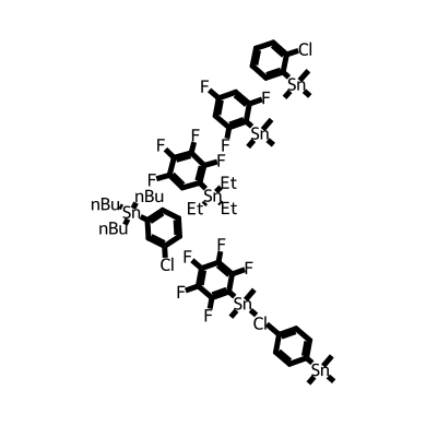 CCC[CH2][Sn]([CH2]CCC)([CH2]CCC)[c]1cccc(Cl)c1.C[CH2][Sn]([CH2]C)([CH2]C)[c]1cc(F)c(F)c(F)c1F.[CH3][Sn]([CH3])([CH3])[c]1c(F)c(F)c(F)c(F)c1F.[CH3][Sn]([CH3])([CH3])[c]1c(F)cc(F)cc1F.[CH3][Sn]([CH3])([CH3])[c]1ccc(Cl)cc1.[CH3][Sn]([CH3])([CH3])[c]1ccccc1Cl